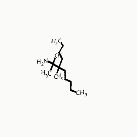 CCCCCC(C)(CCCC)C(C)(C)N